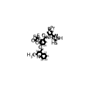 CCCN1CC(NC(=O)c2ccc(OCc3cc(C)nc4ccccc34)cc2)C(c2n[nH]c(=S)[nH]2)C1.O=C(O)C(F)(F)F